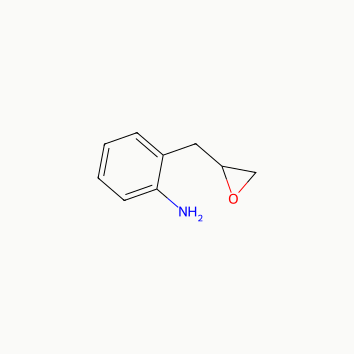 Nc1ccccc1CC1CO1